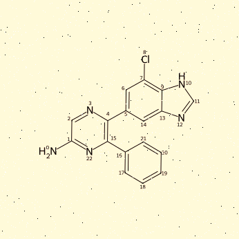 Nc1cnc(-c2cc(Cl)c3[nH]cnc3c2)c(-c2ccccc2)n1